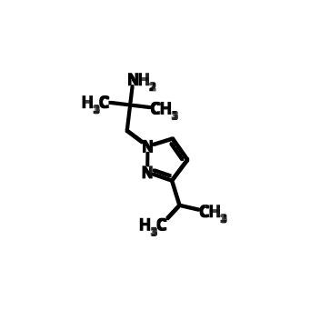 CC(C)c1ccn(CC(C)(C)N)n1